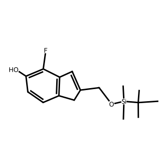 CC(C)(C)[Si](C)(C)OCC1=Cc2c(ccc(O)c2F)C1